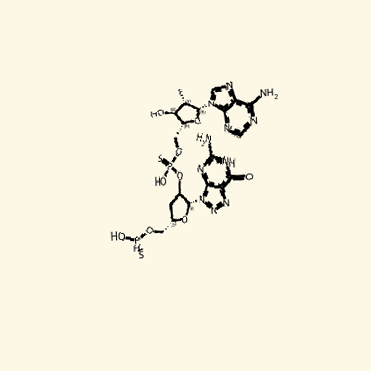 Nc1nc2c(nnn2[C@@H]2O[C@H](CO[PH](O)=S)CC2OP(O)(=S)OC[C@H]2O[C@@H](n3cnc4c(N)ncnc43)[C@@H](F)[C@@H]2O)c(=O)[nH]1